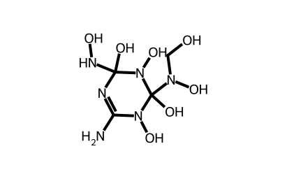 NC1=NC(O)(NO)N(O)C(O)(N(O)CO)N1O